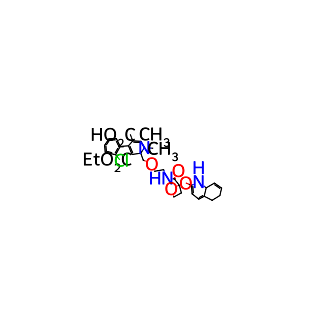 CCOC(=O)C1=C(c2ccccc2Cl)C(C(=O)O)=C(C)N(C)C1COCCNC(=O)C1(OC2=CC=C3CCC=CC3N2)CCO1